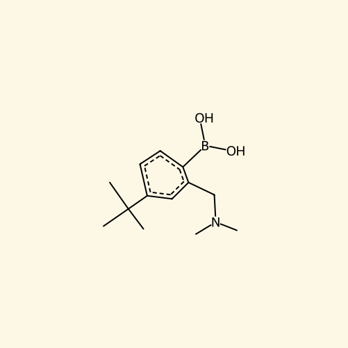 CN(C)Cc1cc(C(C)(C)C)ccc1B(O)O